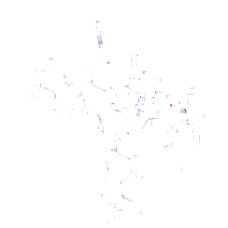 COC(=O)N1[C@@H](c2cc3c(-c4ccc(C(=O)N(C)C)nc4)nc4c(F)c(-c5cccc(Cl)c5Cl)c(CCC#N)cc4c3n2[C@H]2[C@H]3CN[C@@H]2C3)C[C@@H]2C[C@@H]21